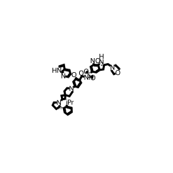 CC(C)c1ccccc1[C@@H]1CCCN1C1CC2(CCN(c3ccc(C(=O)NS(=O)(=O)c4cc5c(c([N+](=O)[O-])c4)NC(CN4CCOCC4)C5)c(Oc4cnc5[nH]ccc5c4)c3)CC2)C1